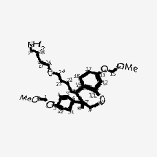 COCOc1ccc(C2(C)COc3cc(OCOC)ccc3C2CCCCOCCCCN)cc1